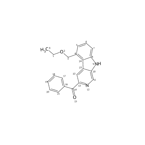 CCOCc1cccc2[nH]c3cnc(C(=O)c4ccccc4)cc3c12